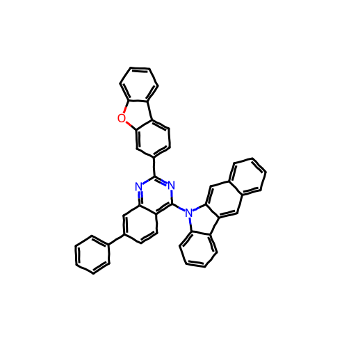 c1ccc(-c2ccc3c(-n4c5ccccc5c5cc6ccccc6cc54)nc(-c4ccc5c(c4)oc4ccccc45)nc3c2)cc1